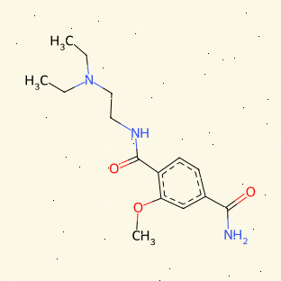 CCN(CC)CCNC(=O)c1ccc(C(N)=O)cc1OC